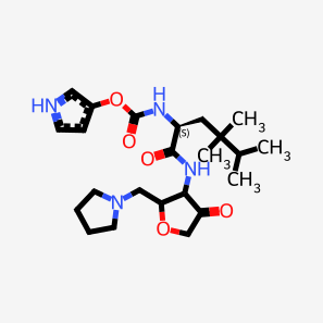 CC(C)C(C)(C)C[C@H](NC(=O)Oc1cc[nH]c1)C(=O)NC1C(=O)COC1CN1CCCC1